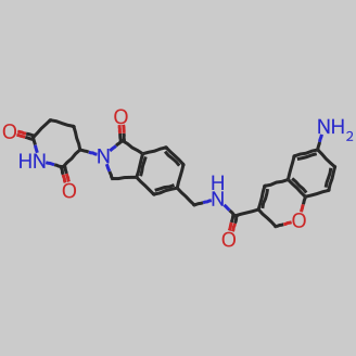 Nc1ccc2c(c1)C=C(C(=O)NCc1ccc3c(c1)CN(C1CCC(=O)NC1=O)C3=O)CO2